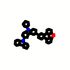 c1ccc(-n2c3ccc(-c4ccc5c(c4)c4cccc6oc7cccc5c7c64)cc3c3cc(-n4c5ccccc5c5ccccc54)ccc32)cc1